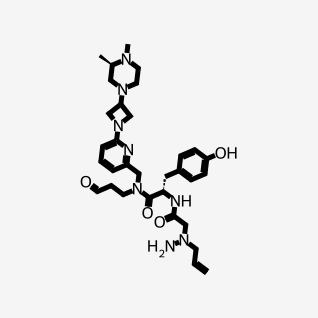 C=CCN(N)CC(=O)N[C@@H](Cc1ccc(O)cc1)C(=O)N(CCC=O)Cc1cccc(N2CC(N3CCN(C)[C@H](C)C3)C2)n1